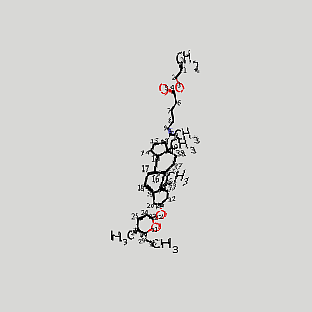 C=CCOC(=O)CCC/C=C(\C)[C@H]1CCC2C3CC=C4C[C@@H](OC5C=C[C@H](C)[C@@H](CC)O5)CC[C@]4(C)C3CC[C@@]21C